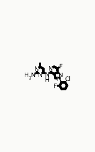 Cc1cc(Nc2ncc(F)c3nn(-c4c(F)cccc4Cl)cc23)nc(N)n1